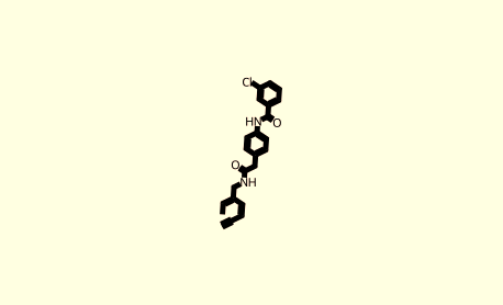 C#C/C=C\C(=C/C)CNC(=O)Cc1ccc(NC(=O)c2cccc(Cl)c2)cc1